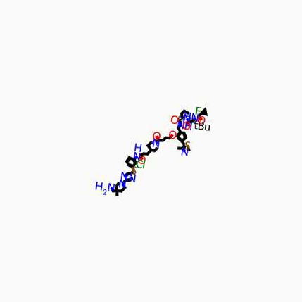 Cc1ncsc1-c1ccc(CNC(=O)[C@@H]2CCCN2C(=O)[C@@H](NC(=O)C2(F)CC2)C(C)(C)C)c(OCCCC(=O)N2CCC(CCC(=O)Nc3cccc(Sc4cnc(N5CCC(C)(CN)CC5)cn4)c3Cl)CC2)c1